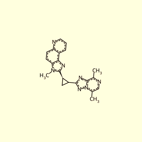 Cc1ncc(C)n2nc(C3C[C@H]3c3nc4c5cccnc5ccc4n3C)nc12